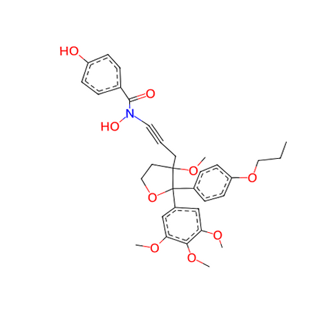 CCCOc1ccc(C2(c3cc(OC)c(OC)c(OC)c3)OCCC2(CC#CN(O)C(=O)c2ccc(O)cc2)OC)cc1